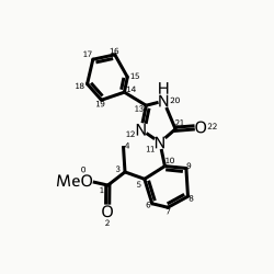 COC(=O)C(C)c1ccccc1-n1nc(-c2ccccc2)[nH]c1=O